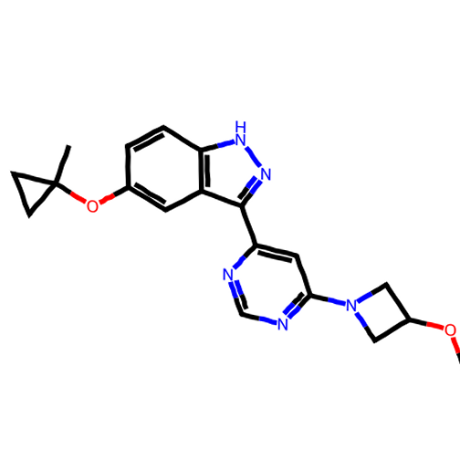 COC1CN(c2cc(-c3n[nH]c4ccc(OC5(C)CC5)cc34)ncn2)C1